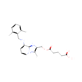 Cc1cccc(C)c1CNc1cccn2c(C)c(COC(=O)CCCC(=O)O)nc12